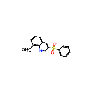 O=Cc1cccc2cc(S(=O)(=O)c3ccccc3)cnc12